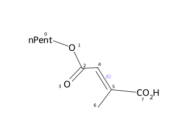 CCCCCOC(=O)/C=C(\C)C(=O)O